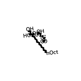 CC(P(=O)=O)[N+](C)(C)CCC(O)O.CCCCCCCCC=CCCCCCCCCCCCC(=O)C(O)CCO